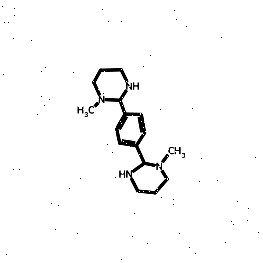 CN1CCCNC1c1ccc(C2NCCCN2C)cc1